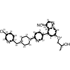 CC(O)COc1cc(-c2ccc(N3CCN(Cc4ccc(Cl)cn4)CC3)nc2)c2c(C#N)cnn2c1